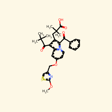 COc1nc(COc2ccn3c(C(=O)c4ccccc4)c(CC(C)(C)C(=O)O)c(C(=O)C(C)(C)C)c3c2)cs1